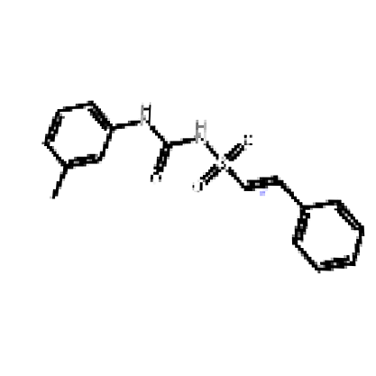 Cc1cccc(NC(=O)NS(=O)(=O)/C=C/c2ccccc2)c1